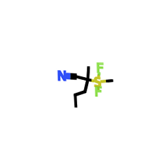 CCCC(C)(C#N)S(C)(F)F